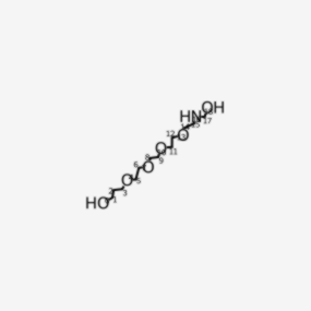 OCCCOCCOCCOCCOCCNCO